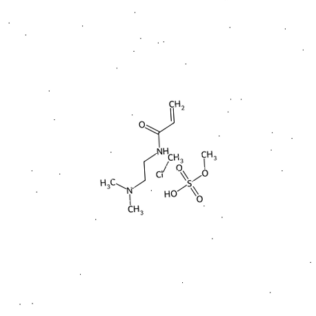 C=CC(=O)NCCN(C)C.CCl.COS(=O)(=O)O